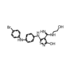 N=C(NCCO)c1c(O)nsc1Nc1ccc(Nc2ccc(Br)cc2)cc1